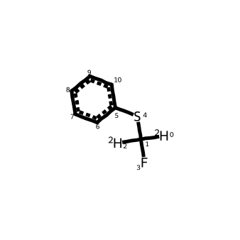 [2H]C([2H])(F)Sc1ccccc1